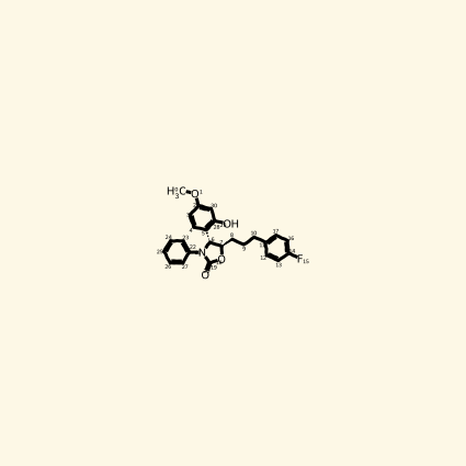 COc1ccc([C@@H]2[C@@H](CCCc3ccc(F)cc3)OC(=O)N2c2ccccc2)c(O)c1